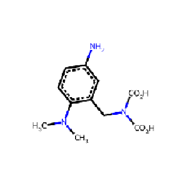 CN(C)c1ccc(N)cc1CN(C(=O)O)C(=O)O